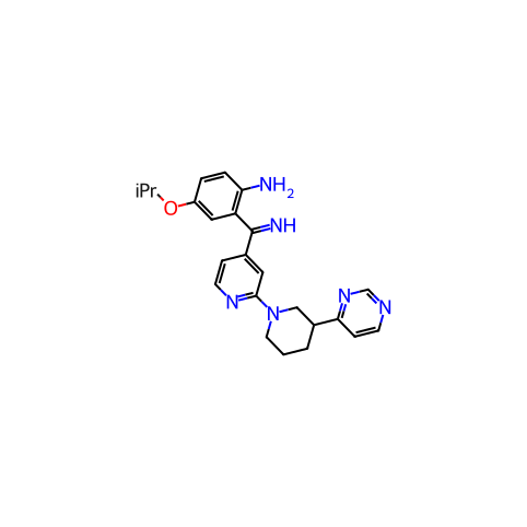 CC(C)Oc1ccc(N)c(C(=N)c2ccnc(N3CCCC(c4ccncn4)C3)c2)c1